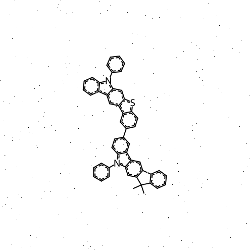 CC1(C)c2ccccc2-c2cc3c4cc(-c5ccc6sc7cc8c(cc7c6c5)c5ccccc5n8-c5ccccc5)ccc4n(-c4ccccc4)c3cc21